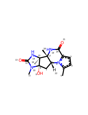 Cc1ccc2n1[C@@H]1C[C@@]3(O)N(C)C(=O)N[C@@]3(C)[C@]1(C)NC2=O